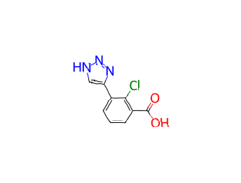 O=C(O)c1cccc(-c2c[nH]nn2)c1Cl